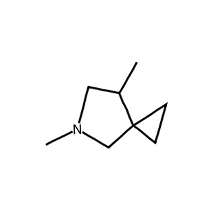 CC1CN(C)CC12CC2